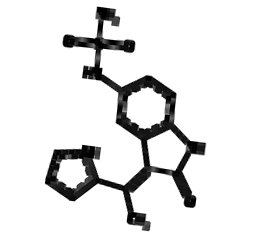 CC(=C1C(=O)Nc2ccc(NS(N)(=O)=O)cc21)c1ccc[nH]1